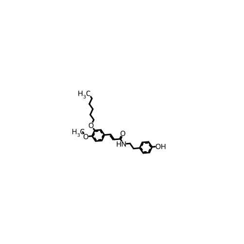 CCCCCCOc1cc(C=CC(=O)NCCc2ccc(O)cc2)ccc1OC